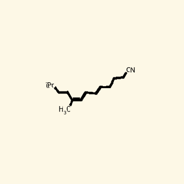 CC(=CCCCCCCC#N)CCC(C)C